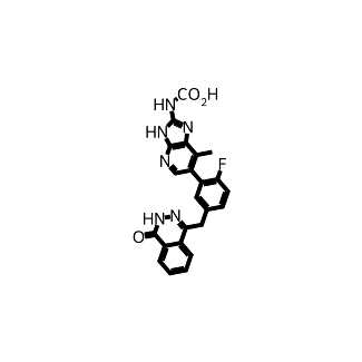 Cc1c(-c2cc(Cc3n[nH]c(=O)c4ccccc34)ccc2F)cnc2[nH]c(NC(=O)O)nc12